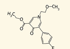 CCOC(=O)c1cn(CCOC)cc(-c2ccc(F)cc2)c1=O